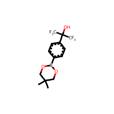 CC1(C)COB(c2ccc(C(O)(C(F)(F)F)C(F)(F)F)cc2)OC1